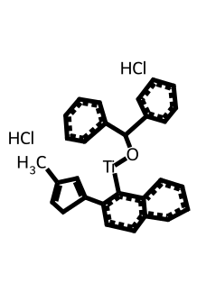 CC1=CCC(c2ccc3ccccc3[c]2[Ti][O]C(c2ccccc2)c2ccccc2)=C1.Cl.Cl